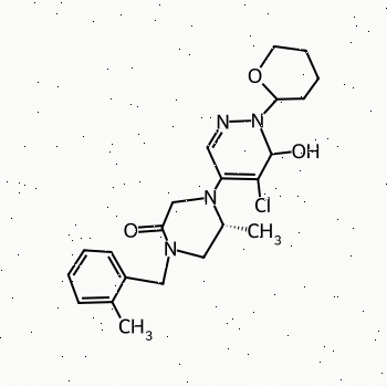 Cc1ccccc1CN1C[C@@H](C)N(C2=C(Cl)C(O)N(C3CCCCO3)N=C2)CC1=O